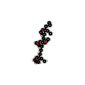 c1ccc(-c2ccc3c(-c4ccc(-c5ccc(-c6ccc(-c7c8ccccc8c(-c8ccc(-c9ccc(-c%10c%11ccccc%11c(-c%11cccc(-c%12cccc%13ccccc%12%13)c%11)c%11ccc(-c%12ccccc%12)cc%10%11)c%10c9oc9ccccc9%10)cc8-c8cccc9ccccc89)c8ccc(-c9ccccc9)cc78)c7c6oc6ccccc67)cc5)cc4)c4ccccc4c(-c4cccc5oc6ccccc6c45)c3c2)cc1